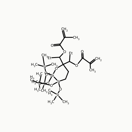 C=C(C)C(=O)OC(CC)C1(C(CC)OC(=O)C(=C)C)CC[Si](O[Si](C)(C)C)(O[Si](C)(C)C)[Si](O[Si](C)(C)C)(O[Si](C)(C)C)O1